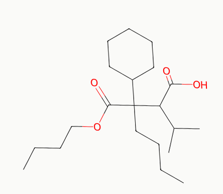 CCCCOC(=O)C(CCCC)(C1CCCCC1)C(C(=O)O)C(C)C